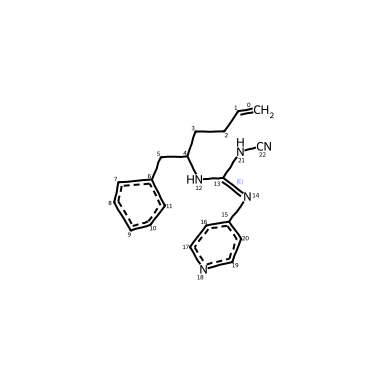 C=CCCC(Cc1ccccc1)N/C(=N\c1ccncc1)NC#N